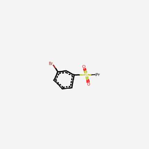 [CH2]C(C)S(=O)(=O)c1cccc(Br)c1